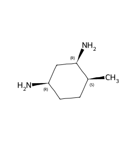 C[C@H]1CC[C@@H](N)C[C@H]1N